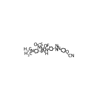 CC(C)c1ccc(N(C)C)cc1N1C(=O)CSC1=NC(=O)Nc1ccc(-c2ncn(-c3ccc(OCC#N)cc3)n2)cc1F